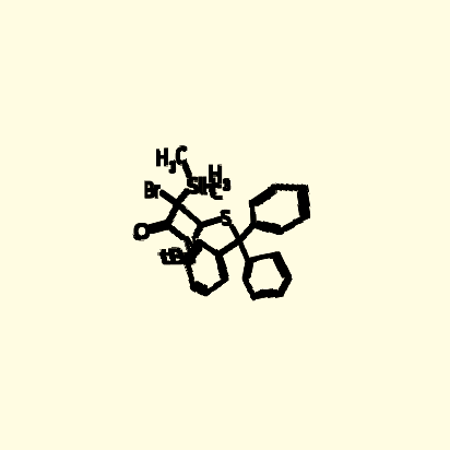 C[SiH](C)C1(Br)C(=O)N(C(C)(C)C)C1SC(c1ccccc1)(c1ccccc1)c1ccccc1